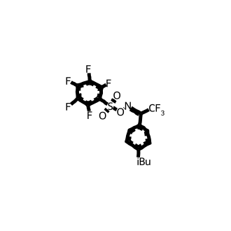 CCC(C)c1ccc(/C(=N\OS(=O)(=O)c2c(F)c(F)c(F)c(F)c2F)C(F)(F)F)cc1